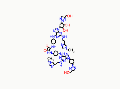 CCn1cnc(CCNc2nc(N[C@H]3CC[C@H](Nc4c(N[C@H]5CC[C@H](Nc6nc(NCCc7cn(CC)cn7)nc7c6ncn7[C@@H]6C[C@H](n7ncc(CO)n7)[C@@H](O)[C@H]6O)CC5)c(=O)c4=O)CC3)c3ncn([C@H]4CC[C@@H](n5ncc(CO)n5)C4)c3n2)c1